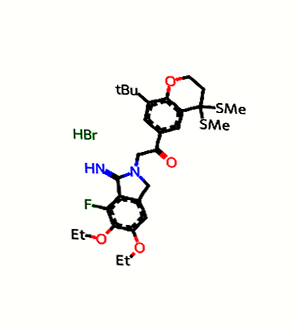 Br.CCOc1cc2c(c(F)c1OCC)C(=N)N(CC(=O)c1cc(C(C)(C)C)c3c(c1)C(SC)(SC)CCO3)C2